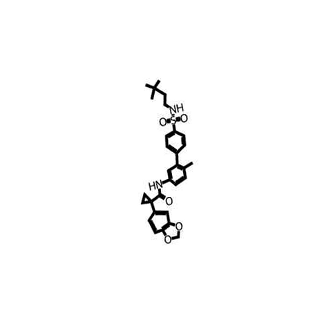 Cc1ccc(NC(=O)C2(c3ccc4c(c3)OCO4)CC2)cc1-c1ccc(S(=O)(=O)NCCC(C)(C)C)cc1